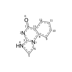 O=c1nc2[nH]ccn2c2ccccc12